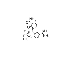 N=C(N)c1cccc(CN2CCCC(C(N)=O)C2=O)c1.O=C(O)C(F)(F)F